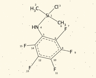 C[Si](C)(Cl)Nc1c(F)c(F)c(F)c(F)c1F